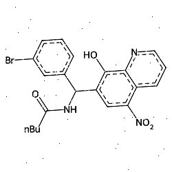 CCCCC(=O)NC(c1cccc(Br)c1)c1cc([N+](=O)[O-])c2cccnc2c1O